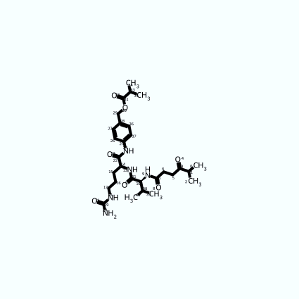 CC(C)C(=O)CCC(=O)N[C@H](C(=O)NC(CCCNC(N)=O)C(=O)Nc1ccc(COC(=O)C(C)C)cc1)C(C)C